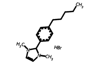 Br.CCCCCc1ccc(C2N(C)C=CN2C)cc1